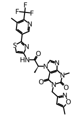 Cc1cc(Cn2c(=O)c3c(ncn3[C@@H](C)C(=O)Nc3csc(-c4cnc(C(F)(F)F)c(C)c4)n3)n(C)c2=O)no1